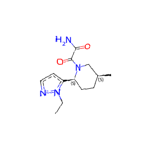 CCn1nccc1[C@@H]1CC[C@H](C)CN1C(=O)C(N)=O